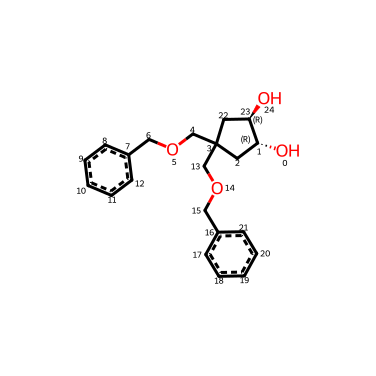 O[C@@H]1CC(COCc2ccccc2)(COCc2ccccc2)C[C@H]1O